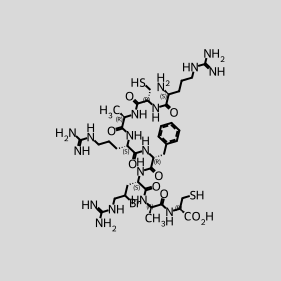 C[C@@H](NC(=O)[C@H](CC(Br)CNC(=N)N)NC(=O)[C@@H](Cc1ccccc1)NC(=O)[C@H](CCCNC(=N)N)NC(=O)[C@@H](C)NC(=O)[C@H](CS)NC(=O)[C@@H](N)CCCNC(=N)N)C(=O)N[C@@H](CS)C(=O)O